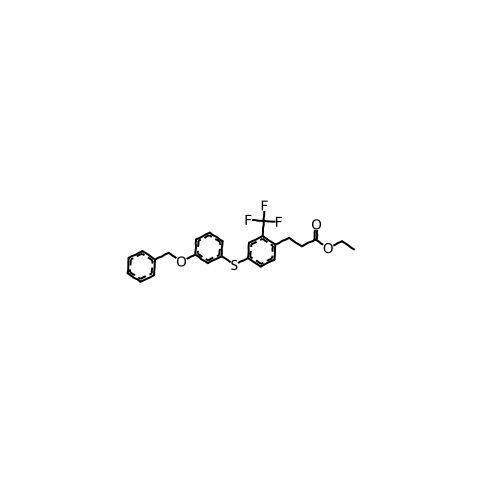 CCOC(=O)CCc1ccc(Sc2cccc(OCc3ccccc3)c2)cc1C(F)(F)F